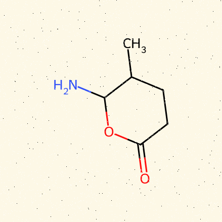 CC1CCC(=O)OC1N